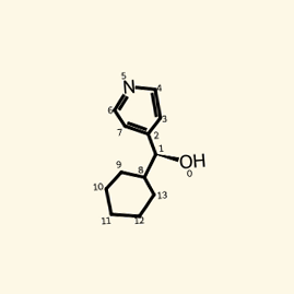 O[C@H](c1ccncc1)C1CCCCC1